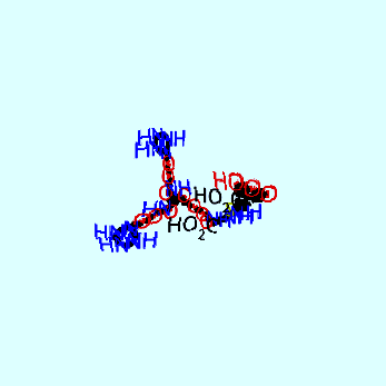 O=C(COCCOCCCC(=O)c1cc(C(=O)NCCOCCOCCN2CCNCCNCCNCC2)cc(C(=O)NCCOCCOCCN2CCNCCNCCNCC2)c1)NC(CCCCNC(=S)Nc1ccc(-c2c3ccc(=O)cc-3oc3cc(O)ccc23)c(C(=O)O)c1)C(=O)O